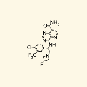 NC(=O)c1ccnc2c(NC(CN3CC(F)C3)c3ccc(Cl)c(C(F)(F)F)c3)ncnc12